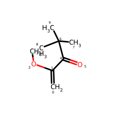 C=C(OC)C(=O)C(C)(C)C